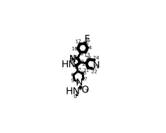 CNC(=O)N1CCC(c2[nH]nc(-c3ccc(F)cc3)c2-c2ccncc2)CC1